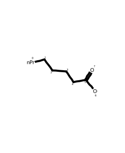 CCCCCCCC([O])=O